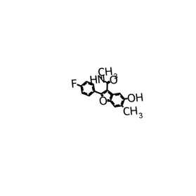 CNC(=O)c1c(-c2ccc(F)cc2)oc2cc(C)c(O)cc12